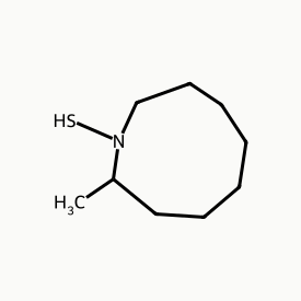 CC1CCCCCCCN1S